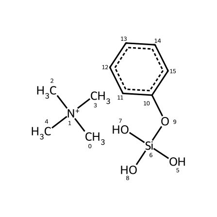 C[N+](C)(C)C.O[Si](O)(O)Oc1ccccc1